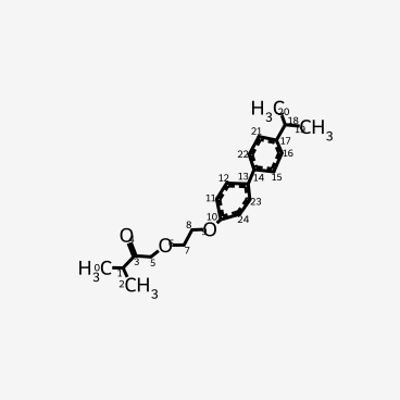 CC(C)C(=O)COCCOc1ccc(-c2ccc(C(C)C)cc2)cc1